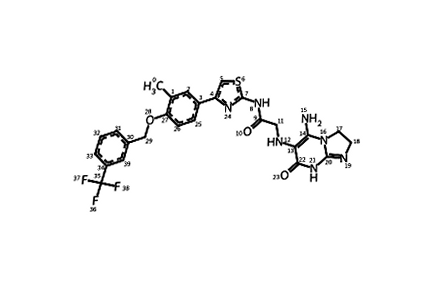 Cc1cc(-c2csc(NC(=O)CNC3=C(N)N4CCN=C4NC3=O)n2)ccc1OCc1cccc(C(F)(F)F)c1